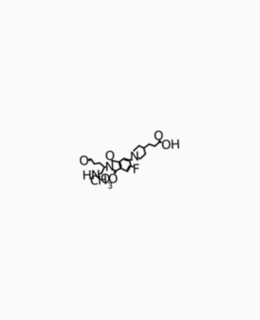 CNC(=O)C(CCC=O)N1C(=O)c2cc(F)c(N3CCC(CCC(=O)O)CC3)cc2C1=O